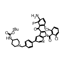 CC(C)(C)OC(=O)NC1CCN(Cc2ccc(-c3cnc4c(c3)c(C(=O)c3c(F)ccc(N)c3F)cn4C(=O)c3c(Cl)cccc3Cl)cc2)CC1